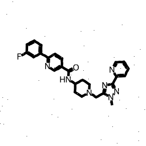 Cn1nc(-c2ccccn2)nc1CN1CCC(NC(=O)c2ccc(-c3cccc(F)c3)nc2)CC1